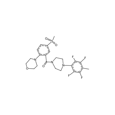 Cc1c(F)c(F)c(N2CCN(C(=O)c3cc(S(C)(=O)=O)ccc3N3CCOCC3)CC2)c(F)c1F